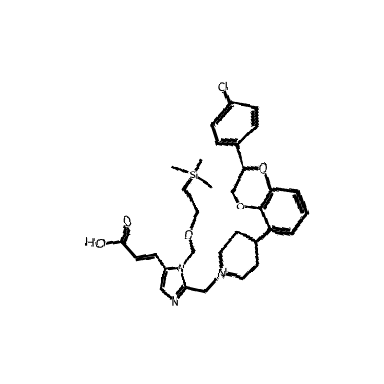 C[Si](C)(C)CCOCn1c(C=CC(=O)O)cnc1CN1CCC(c2cccc3c2OC[C@@H](c2ccc(Cl)cc2)O3)CC1